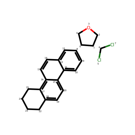 C1CCOC1.ClCCl.c1ccc2c(c1)ccc1c3c(ccc12)CCCC3